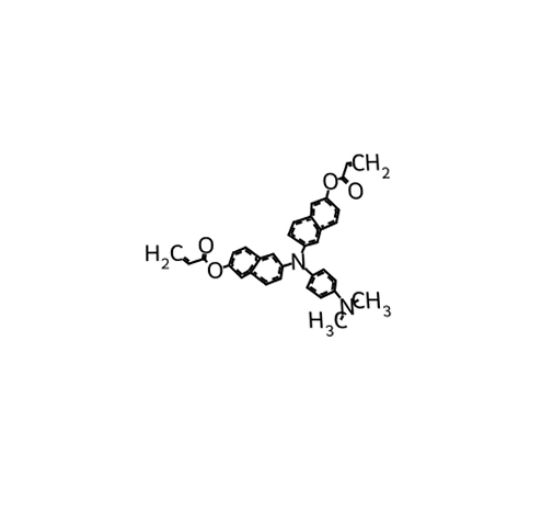 C=CC(=O)Oc1ccc2cc(N(c3ccc(N(C)C)cc3)c3ccc4cc(OC(=O)C=C)ccc4c3)ccc2c1